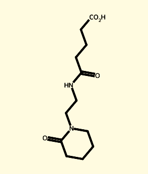 O=C(O)CCCC(=O)NCCN1CCCCC1=O